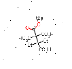 CCC(CC)(C(=O)O)C(C(=O)O)(C(=O)O)C(=O)OC(C)(C)C